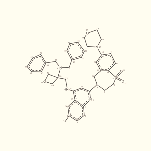 Cc1ccc2nc(N3CCS(=O)(=O)c4ccc(N5CCOCC5)cc4C3)cc(NCC3(N(Cc4ccccc4)Cc4ccccc4)COC3)c2c1